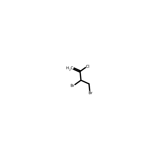 C=C(Cl)C(Br)CBr